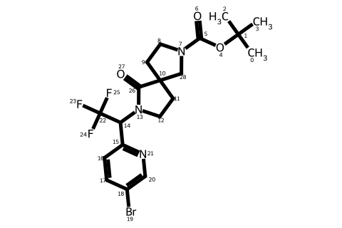 CC(C)(C)OC(=O)N1CCC2(CCN(C(c3ccc(Br)cn3)C(F)(F)F)C2=O)C1